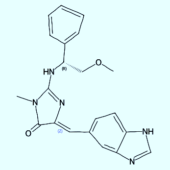 COC[C@H](NC1=N/C(=C\c2ccc3[nH]cnc3c2)C(=O)N1C)c1ccccc1